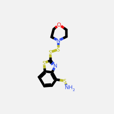 NSc1cccc2sc(SSN3CCOCC3)nc12